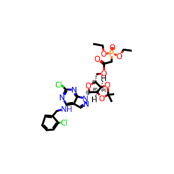 CCOP(=O)(CC(=O)OC[C@H]1O[C@@H](n2ncc3c(NCc4ccccc4Cl)nc(Cl)nc32)[C@@H]2OC(C)(C)O[C@@H]21)OCC